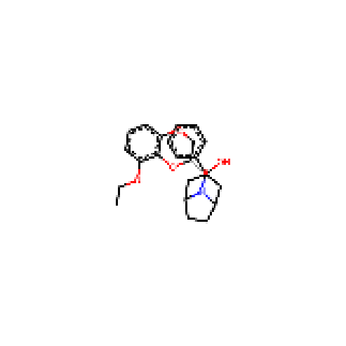 CCOc1cccc2c1O[C@@H](CN1C3CCC1CC(O)(c1ccccc1)C3)CO2